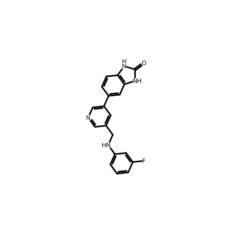 O=c1[nH]c2ccc(-c3cncc(CNc4cccc(F)c4)c3)cc2[nH]1